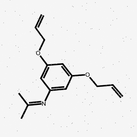 C=CCOc1cc(N=C(C)C)cc(OCC=C)c1